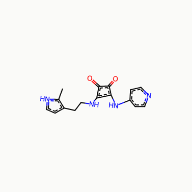 Cc1[nH]ccc1CCNc1c(Nc2ccncc2)c(=O)c1=O